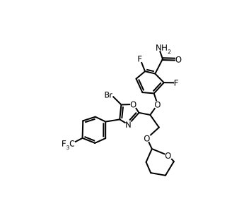 NC(=O)c1c(F)ccc(OC(COC2CCCCO2)c2nc(-c3ccc(C(F)(F)F)cc3)c(Br)o2)c1F